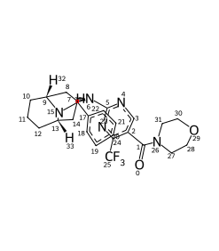 O=C(c1cnc(N[C@@H]2C[C@H]3CCC[C@@H](C2)N3Cc2ccccc2)nc1C(F)(F)F)N1CCOCC1